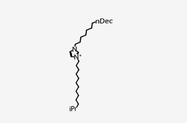 CCCCCCCCCCCCCCCCCn1cc[n+](CCCCCCCCCCCC(C)C)c1